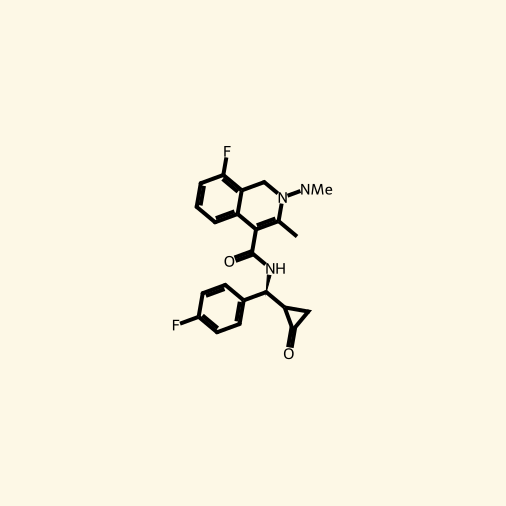 CNN1Cc2c(F)cccc2C(C(=O)N[C@H](c2ccc(F)cc2)C2CC2=O)=C1C